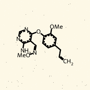 C=CCc1ccc(Oc2ncnc(N)c2/C=N\OC)c(OC)c1